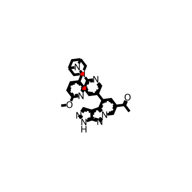 COc1ccc(CN2C3CC2CN(c2ccc(-c4cc(C(C)=O)cn5nc6[nH]ncc6c45)cn2)C3)cn1